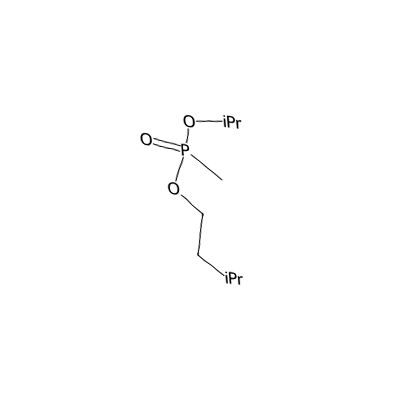 CC(C)CCOP(C)(=O)OC(C)C